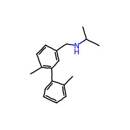 Cc1ccccc1-c1cc(CNC(C)C)ccc1C